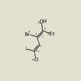 CC/C(O)=C(Br)\C=C(/C)Cl